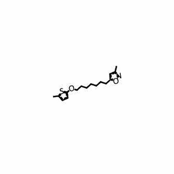 Cc1cc(CCCCCCCOc2ccc(C)s2)on1